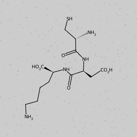 NCCCC[C@H](NC(=O)[C@H](CC(=O)O)NC(=O)[C@@H](N)CS)C(=O)O